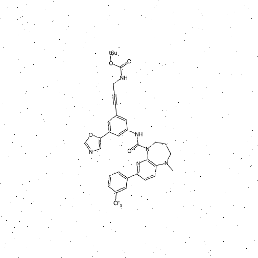 CN1CCCN(C(=O)Nc2cc(C#CCNC(=O)OC(C)(C)C)cc(-c3cnco3)c2)c2nc(-c3cccc(C(F)(F)F)c3)ccc21